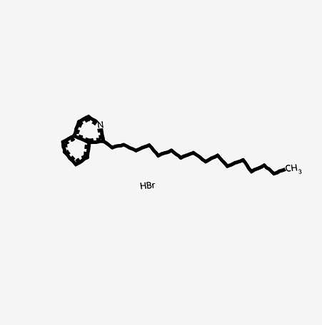 Br.CCCCCCCCCCCCCCCCc1nccc2ccccc12